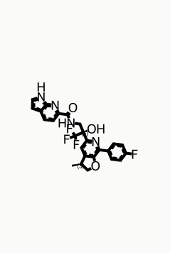 C[C@@H]1COc2c1cc([C@@](O)(CNC(=O)c1ccc3cc[nH]c3n1)C(F)(F)F)nc2-c1ccc(F)cc1